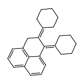 c1cc2c3c(cccc3c1)C(=C1CCCCC1)C(=C1CCCCC1)C2